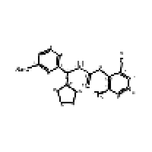 COc1cccc(C(NC(=O)Cc2c(Cl)cncc2Cl)C2CCCC2)c1